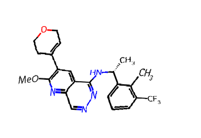 COc1nc2cnnc(N[C@H](C)c3cccc(C(F)(F)F)c3C)c2cc1C1=CCOCC1